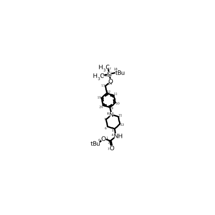 CC(C)(C)OC(=O)NC1CCN(c2ccc(CO[Si](C)(C)C(C)(C)C)cc2)CC1